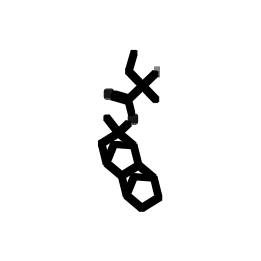 CCC(C)(I)C(=O)OC1(C)CC2CC1C1C3CCC(C3)C21